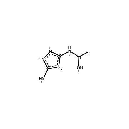 CC(O)Nc1nnc(S)s1